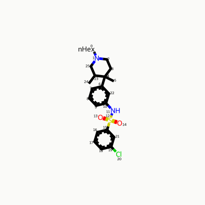 CCCCCCN1CCC(C)(c2cccc(NS(=O)(=O)c3cccc(Cl)c3)c2)C(C)C1